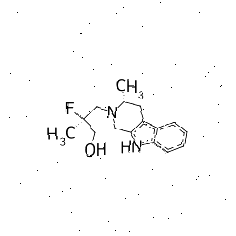 C[C@@H]1Cc2c([nH]c3ccccc23)CN1C[C@](C)(F)CO